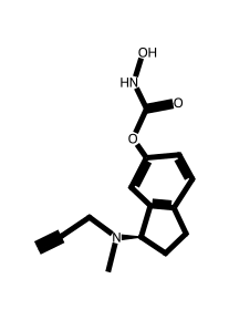 C#CCN(C)[C@@H]1CCc2ccc(OC(=O)NO)cc21